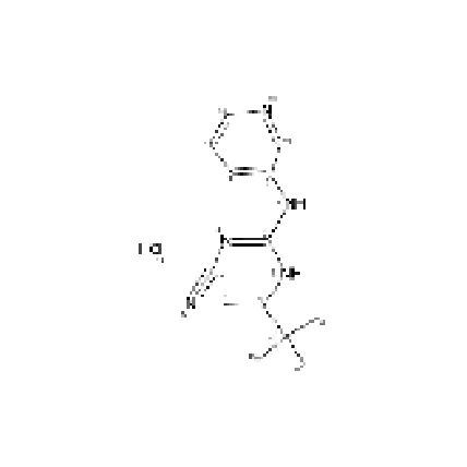 CC(NC(=NC#N)Nc1cccnc1)C(C)(C)C.Cl